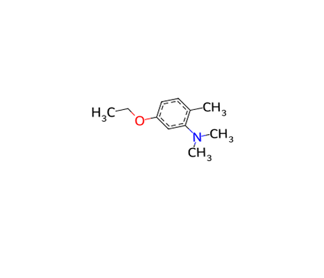 CCOc1ccc(C)c(N(C)C)c1